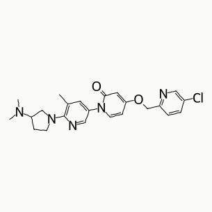 Cc1cc(-n2ccc(OCc3ccc(Cl)cn3)cc2=O)cnc1N1CCC(N(C)C)C1